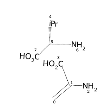 C=C(N)C(=O)O.CC(C)[C@H](N)C(=O)O